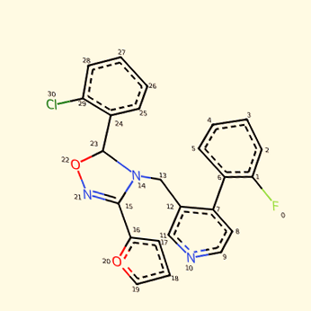 Fc1ccccc1-c1ccncc1CN1C(c2ccco2)=NOC1c1ccccc1Cl